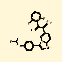 N=C(/C(=C\N)C1=CN2C(c3ccc(OC(F)F)cc3)=CNC2C=C1)c1c(F)cccc1F